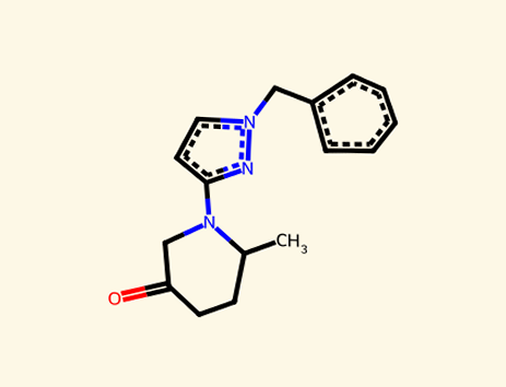 CC1CCC(=O)CN1c1ccn(Cc2ccccc2)n1